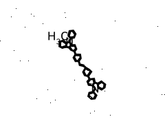 Cc1ccccc1-n1c2ccccc2c2cc(-c3ccc(/C=C/c4ccc(-c5ccc6c(c5)c5ccccc5n6-c5ccccc5)cc4)cc3)ccc21